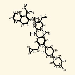 C=Cc1cnc(Nc2cc(CC3CC3)c(N3CCC(N4CCN(C)CC4)CC3)cc2OC)nc1Nc1ccc2nccnc2c1N(C)SC